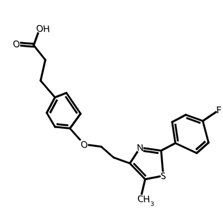 Cc1sc(-c2ccc(F)cc2)nc1CCOc1ccc(CCC(=O)O)cc1